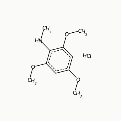 CNc1c(OC)cc(OC)cc1OC.Cl